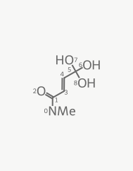 CNC(=O)C=CC(O)(O)O